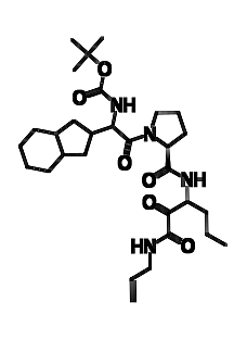 C=CCNC(=O)C(=O)C(CCC)NC(=O)[C@@H]1CCCN1C(=O)C(NC(=O)OC(C)(C)C)C1CC2CCCCC2C1